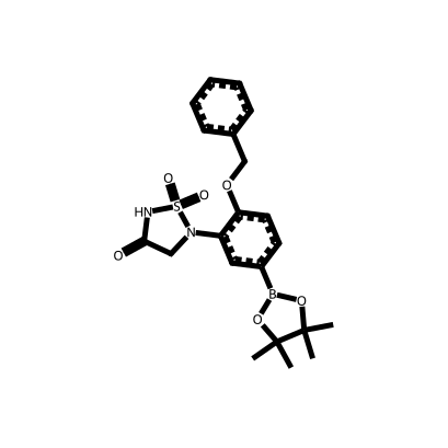 CC1(C)OB(c2ccc(OCc3ccccc3)c(N3CC(=O)NS3(=O)=O)c2)OC1(C)C